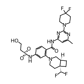 Cc1cc(NC(=O)c2ccc(NS(=O)(=O)CCO)cc2N2CC[C@]3(C(F)F)CC[C@@H]3C2)nc(N2CCC(F)(F)CC2)n1